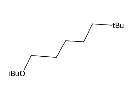 CC(C)COCCCCCC(C)(C)C